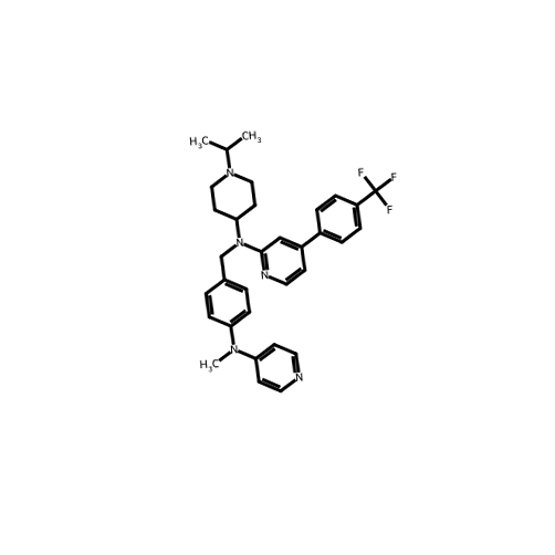 CC(C)N1CCC(N(Cc2ccc(N(C)c3ccncc3)cc2)c2cc(-c3ccc(C(F)(F)F)cc3)ccn2)CC1